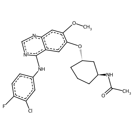 COc1cc2ncnc(Nc3ccc(F)c(Cl)c3)c2cc1O[C@H]1CCC[C@H](NC(C)=O)C1